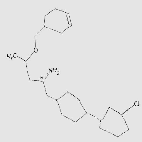 CC(C[C@H](N)CC1CCC(C2CCCC(Cl)C2)CC1)OCC1CC=CCC1